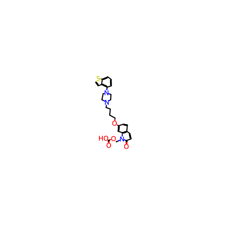 O=C(O)OCn1c(=O)ccc2ccc(OCCCCN3CCN(c4cccc5sccc45)CC3)cc21